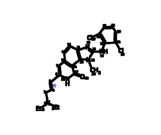 CCN(CC)C/C=C/c1cc2ccc3nc(Nc4c(Cl)cccc4Cl)n(C)c3c2c(=O)[nH]1